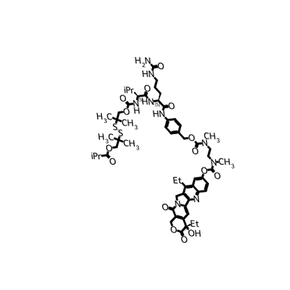 CCc1c2c(nc3ccc(OC(=O)N(C)CCN(C)C(=O)OCc4ccc(NC(=O)[C@H](CCCNC(N)=O)NC(=O)[C@@H](NC(=O)OCC(C)(C)SSC(C)(C)COC(=O)C(C)C)C(C)C)cc4)cc13)-c1cc3c(c(=O)n1C2)COC(=O)[C@]3(O)CC